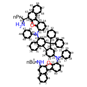 CCCCNc1cc2ccccc2c2c1oc1c(N(c3ccccc3)c3ccc4c(c3)C(c3ccccc3)(c3ccccc3)c3cc(N(c5ccccc5)c5cccc6c5oc5c(C(N)CCC)cc7ccccc7c56)c5ccccc5c3-4)cccc12